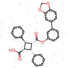 O=C(O)[C@H]1[C@@H](c2ccccc2)[C@H](C(=O)Oc2cccc(-c3ccc4c(c3)OCO4)c2)[C@@H]1c1ccccc1